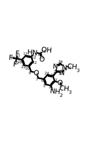 COc1c(N)cc(COCc2cc(NC(=O)O)cc(C(F)(F)F)c2)cc1-c1ncn(C)n1